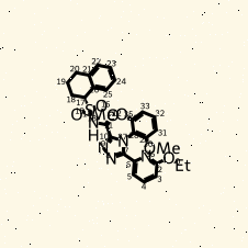 CCOc1cccc(-c2nnc(C(=O)NS(=O)(=O)[C@H]3CCCc4ccccc43)n2-c2c(OC)cccc2OC)n1